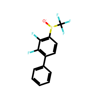 [O-][S+](c1ccc(-c2ccccc2)c(F)c1F)C(F)(F)F